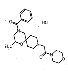 CC1CN(C(=O)c2ccccc2)CC2(CCN(CC(=O)N3CCOCC3)CC2)O1.Cl